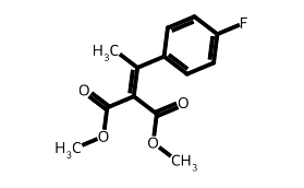 COC(=O)C(C(=O)OC)=C(C)c1ccc(F)cc1